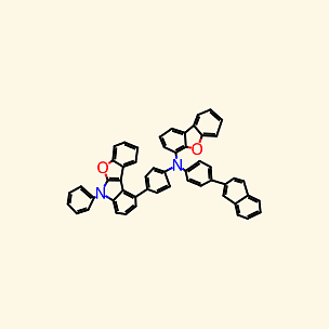 c1ccc(-n2c3cccc(-c4ccc(N(c5ccc(-c6ccc7ccccc7c6)cc5)c5cccc6c5oc5ccccc56)cc4)c3c3c4ccccc4oc32)cc1